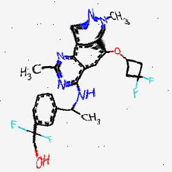 Cc1nc(NC(C)c2cccc(C(F)(F)CO)c2)c2cc(OC3CC(F)(F)C3)c3c(cnn3C)c2n1